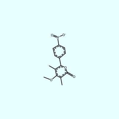 COc1c(C)c(-c2ccc([N+](=O)[O-])cc2)oc(=O)c1C